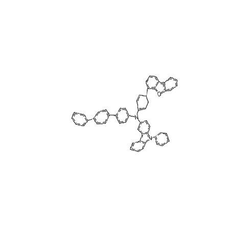 C1=CC(c2cccc3c2oc2ccccc23)CC=C1N(c1ccc(-c2ccc(-c3ccccc3)cc2)cc1)c1ccc2c(c1)c1ccccc1n2-c1ccccc1